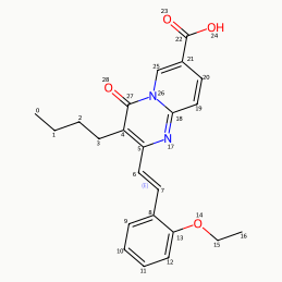 CCCCc1c(/C=C/c2ccccc2OCC)nc2ccc(C(=O)O)cn2c1=O